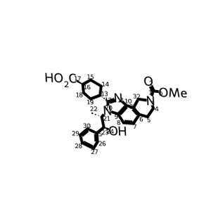 COC(=O)N1CCc2ccc3c(nc([C@H]4CC[C@H](C(=O)O)CC4)n3[C@@H](C)[C@@H](O)c3ccccc3)c2C1